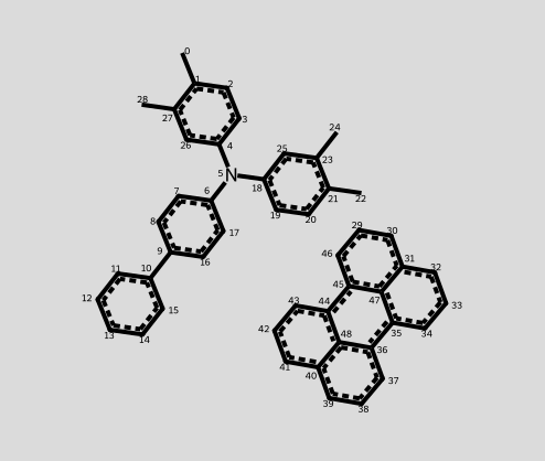 Cc1ccc(N(c2ccc(-c3ccccc3)cc2)c2ccc(C)c(C)c2)cc1C.c1cc2cccc3c4cccc5cccc(c(c1)c23)c54